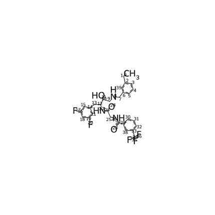 CCc1cccc(CNCC(O)C(Cc2cc(F)cc(F)c2)NC(=O)CNC(=O)c2cccc(C(F)(F)F)c2)c1